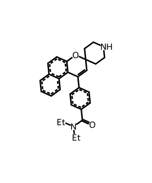 CCN(CC)C(=O)c1ccc(C2=CC3(CCNCC3)Oc3ccc4ccccc4c32)cc1